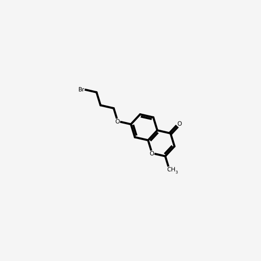 Cc1cc(=O)c2ccc(OCCCBr)cc2o1